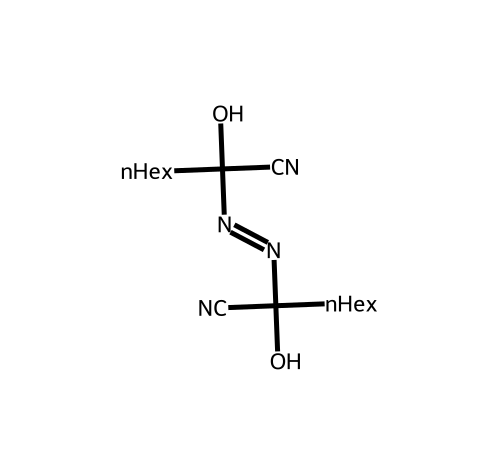 CCCCCCC(O)(C#N)N=NC(O)(C#N)CCCCCC